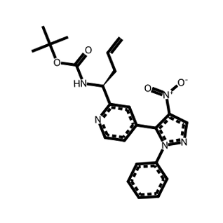 C=CC[C@H](NC(=O)OC(C)(C)C)c1cc(-c2c([N+](=O)[O-])cnn2-c2ccccc2)ccn1